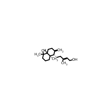 C=C1CC[C@H]2C(C)(C)CCC[C@]2(C)[C@H]1CC/C(C)=C/CO